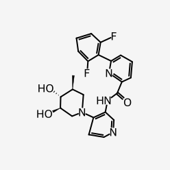 C[C@H]1CN(c2ccncc2NC(=O)c2cccc(-c3c(F)cccc3F)n2)C[C@@H](O)[C@@H]1O